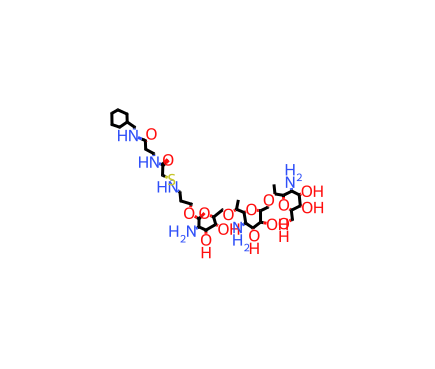 CC(OCC1OC(C(C)OCC2OC(OCCCNSCC(=O)NCCC(=O)NCC3CCCCC3)C(N)C(O)C2O)C(N)C(O)C1O)C1OC(CO)C(O)C(O)C1N